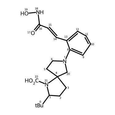 CC(C)(C)C1CCC2(CCN(c3ccccc3C=CC(=O)NO)C2)N1C(=O)O